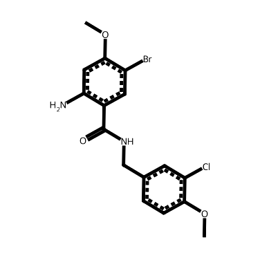 COc1ccc(CNC(=O)c2cc(Br)c(OC)cc2N)cc1Cl